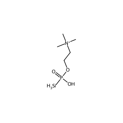 C[N+](C)(C)CCOP(=O)(O)[SiH3]